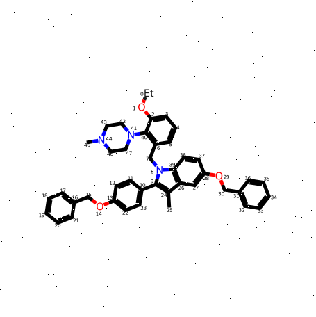 CCOc1cccc(Cn2c(-c3ccc(OCc4ccccc4)cc3)c(C)c3cc(OCc4ccccc4)ccc32)c1N1CCN(C)CC1